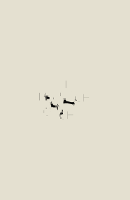 [3H]OC(=O)N(C)C(C)CC